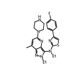 CCN(c1nc(-c2ccc(F)cc2)cs1)c1c2nc(N3CCNCC3)cc(C)c2nn1CC